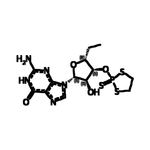 CC[C@H]1O[C@@H](n2cnc3c(=O)[nH]c(N)nc32)[C@H](O)[C@@H]1OP1(=S)SCCS1